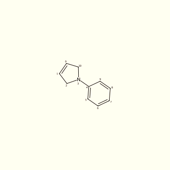 C1=CCN(c2ccccc2)C1